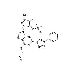 C=CCOc1nc(-n2cc(-c3ccccc3)nn2)nc2c1ncn2[C@@H]1O[C@H](CC)C(C)[C@@H]1O[Si](C)(C)C(C)(C)C